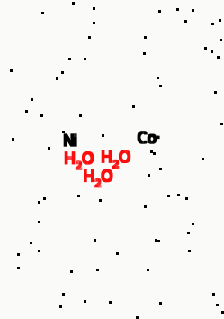 O.O.O.[Co].[Ni]